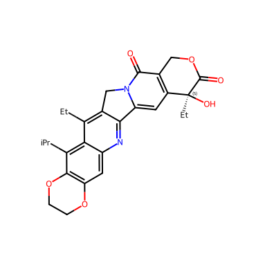 CCc1c2c(nc3cc4c(c(C(C)C)c13)OCCO4)-c1cc3c(c(=O)n1C2)COC(=O)[C@]3(O)CC